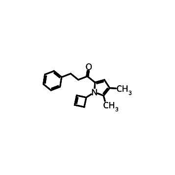 Cc1cc(C(=O)CCc2ccccc2)n(C2C=CC2)c1C